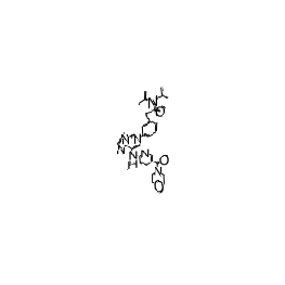 CC(C)N(C(=O)Cc1cccc(N2C=C(Nc3ccc(C(=O)N4CCOCC4)cn3)C3=NC=C[N+]3C2)c1)C(C)C